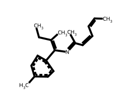 C\C=C/C=C\C(C)=N\C(=C(/C)CC)c1ccc(C)cc1